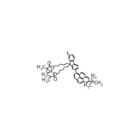 C=C(C)C(=O)OCCCCCC1(CCCCCOC(=O)C(=C)C)c2cc(I)ccc2-c2ccc(-c3ccc4ccc5cc(C(C)(C)C)cc6ccc3c4c56)cc21